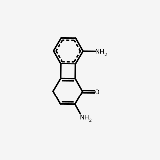 NC1=CCC2=C(C1=O)c1c(N)cccc12